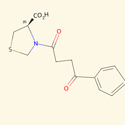 O=C(CCC(=O)N1CSC[C@H]1C(=O)O)c1ccccc1